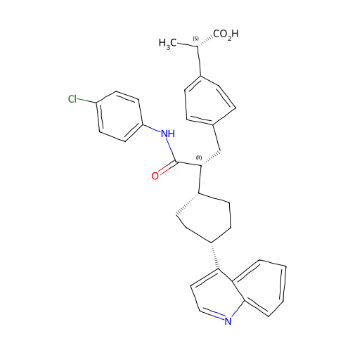 C[C@H](C(=O)O)c1ccc(C[C@@H](C(=O)Nc2ccc(Cl)cc2)[C@H]2CC[C@@H](c3ccnc4ccccc43)CC2)cc1